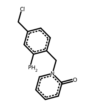 O=c1ccccn1Cc1ccc(CCl)cc1P